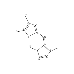 CC1=C(C)C[C]([Sn][C]2=C(C)C=CC2C)=C1